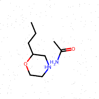 CC(N)=O.CCCC1CNCCO1